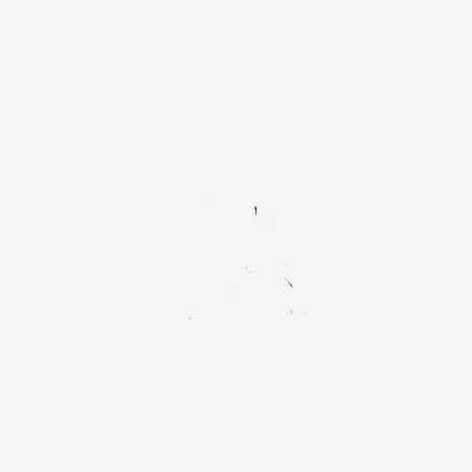 COC(=O)[C@@H]1C[C@H](Oc2ccc(Cl)cc2)CN1C(=O)CC(C)(C)C